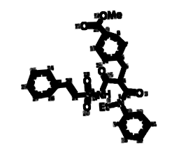 CCN(C(=O)C(Cc1ccc(C(=O)OC)cc1)C(=O)NS(=O)(=O)/C=C/c1ccccc1)c1ccccc1